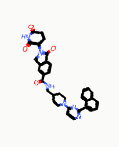 O=C1CCC(N2Cc3cc(C(=O)NCC4CCN(c5ccnc(-c6cccc7ccccc67)n5)CC4)ccc3C2=O)C(=O)N1